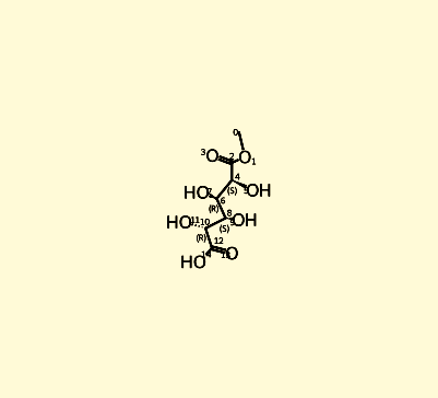 COC(=O)[C@@H](O)[C@H](O)[C@H](O)[C@@H](O)C(=O)O